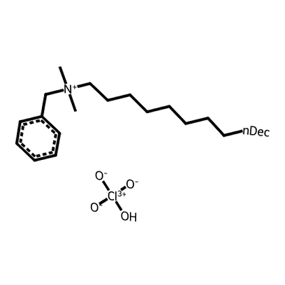 CCCCCCCCCCCCCCCCCC[N+](C)(C)Cc1ccccc1.[O-][Cl+3]([O-])([O-])O